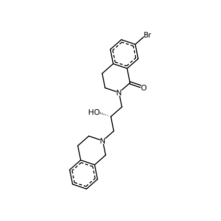 O=C1c2cc(Br)ccc2CCN1C[C@@H](O)CN1CCc2ccccc2C1